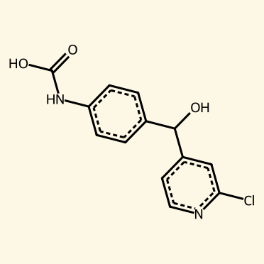 O=C(O)Nc1ccc(C(O)c2ccnc(Cl)c2)cc1